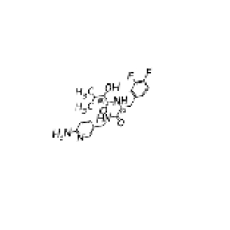 CC(C)[C@@H](O)C(=O)N[C@@H](Cc1ccc(F)c(F)c1)C(=O)NCc1ccc(N)nc1